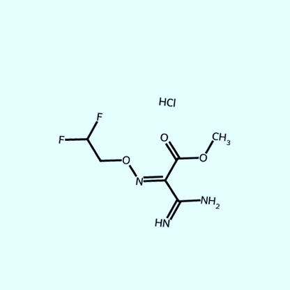 COC(=O)/C(=N\OCC(F)F)C(=N)N.Cl